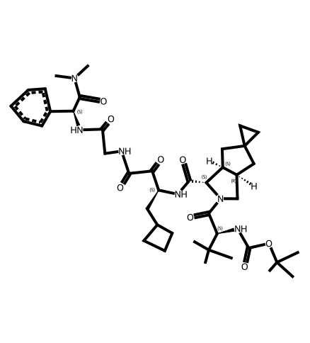 CN(C)C(=O)[C@@H](NC(=O)CNC(=O)C(=O)[C@H](CC1CCC1)NC(=O)[C@@H]1[C@H]2CC3(CC3)C[C@H]2CN1C(=O)[C@@H](NC(=O)OC(C)(C)C)C(C)(C)C)c1ccccc1